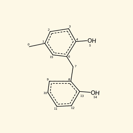 Cc1ccc(O)c(Cc2ccccc2O)c1